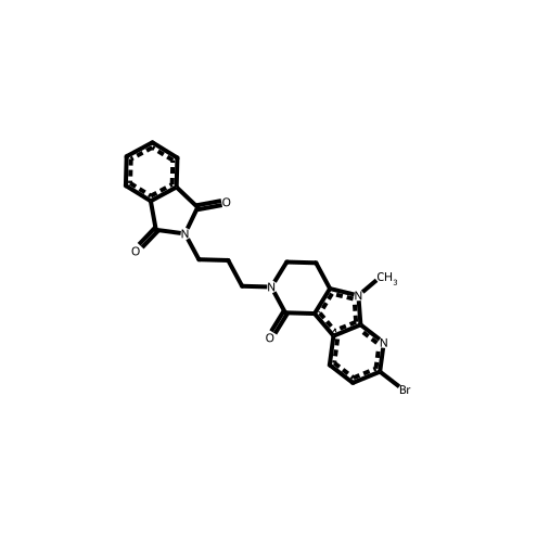 Cn1c2c(c3ccc(Br)nc31)C(=O)N(CCCN1C(=O)c3ccccc3C1=O)CC2